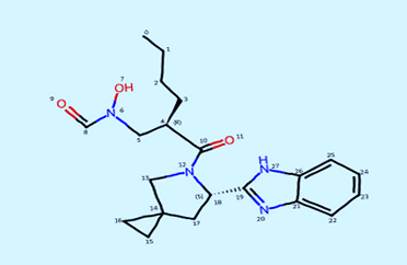 CCCC[C@H](CN(O)C=O)C(=O)N1CC2(CC2)C[C@H]1c1nc2ccccc2[nH]1